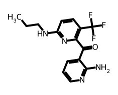 CCCNc1ccc(C(F)(F)F)c(C(=O)c2cccnc2N)n1